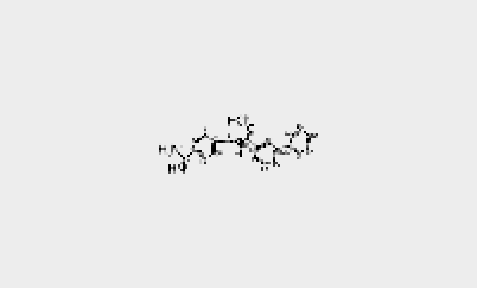 Cl.N=C(N)c1ccc(CNC(=O)c2cccc(-c3ccccc3)c2)cc1